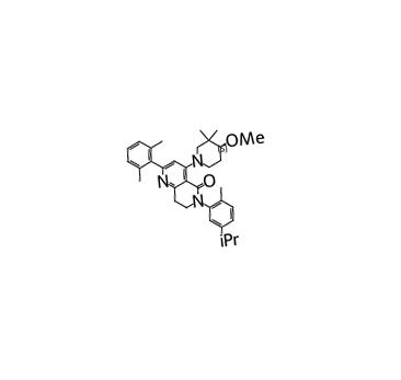 CO[C@H]1CCN(c2cc(-c3c(C)cccc3C)nc3c2C(=O)N(c2cc(C(C)C)ccc2C)CC3)CC1(C)C